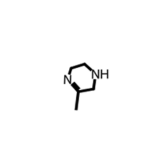 CC1=NCCNC1